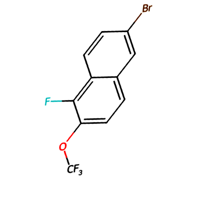 Fc1c(OC(F)(F)F)ccc2cc(Br)ccc12